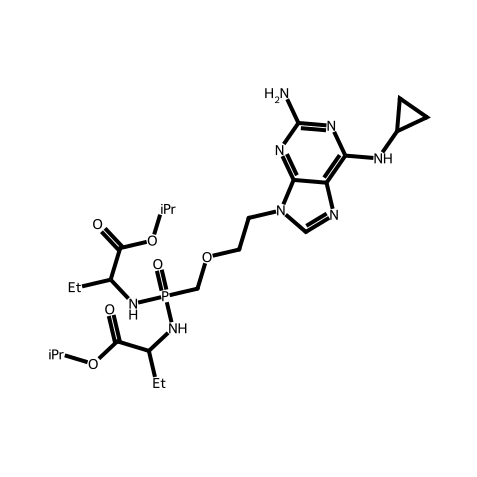 CCC(NP(=O)(COCCn1cnc2c(NC3CC3)nc(N)nc21)NC(CC)C(=O)OC(C)C)C(=O)OC(C)C